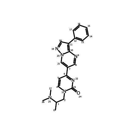 CC(Cn1ccc(-c2cnc3c(-c4ccccc4)cnn3c2)nc1=O)N(C)C